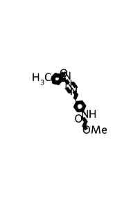 COCCC(=O)N[C@H]1CC[C@H](CCN2CCN(c3noc4cc(C)ccc34)CC2)CC1